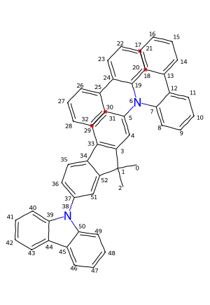 CC1(C)c2cc(N(c3ccccc3-c3ccccc3)c3ccccc3-c3ccccc3)ccc2-c2ccc(-n3c4ccccc4c4ccccc43)cc21